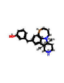 Oc1cccc(Cc2cc3c4c(c2)[C@@H]2CNCC[C@@H]2N4CCCS3)c1